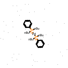 CCCC[PH](CCCC)([Pd][PH](CCCC)(CCCC)c1ccccc1)c1ccccc1